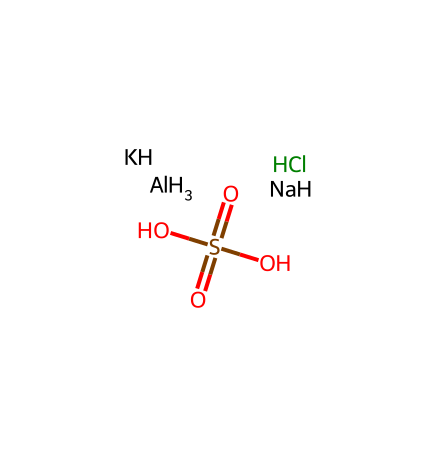 Cl.O=S(=O)(O)O.[AlH3].[KH].[NaH]